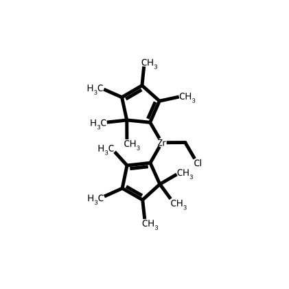 CC1=C(C)C(C)(C)[C]([Zr]([CH2]Cl)[C]2=C(C)C(C)=C(C)C2(C)C)=C1C